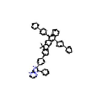 CC1(C)c2cc(-c3ccc(-c4nc5ncccn5c4-c4ccccc4)cc3)ccc2-c2cc3c(-c4ccc(-c5ccccc5)cc4)c4ccccc4c(-c4ccc(-c5ccccc5)cc4)c3cc21